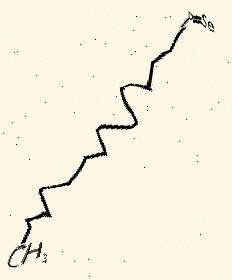 CCCCCCCCCCCCCP=[Se]